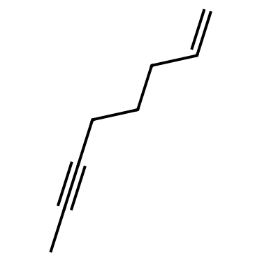 C=CCCCC#CC